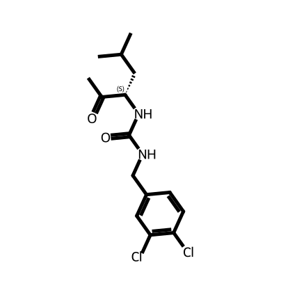 CC(=O)[C@H](CC(C)C)NC(=O)NCc1ccc(Cl)c(Cl)c1